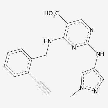 C#Cc1ccccc1CNc1nc(Nc2cnn(C)c2)ncc1C(=O)O